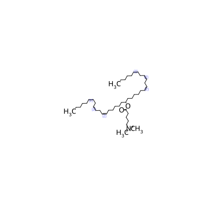 CCCCC/C=C\C/C=C\C/C=C\CCCCCC(CCCCC/C=C\C/C=C\C/C=C\CCCCC)OC(=O)CCCC=[N+](C)C